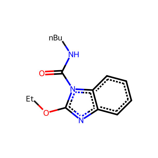 CCCCNC(=O)n1c(OCC)nc2ccccc21